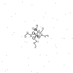 CCCO[Si](OCCC)(OCCC)C(CC)N(C)C